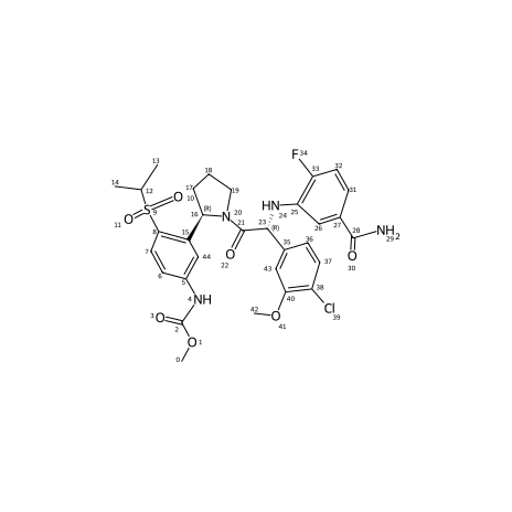 COC(=O)Nc1ccc(S(=O)(=O)C(C)C)c([C@H]2CCCN2C(=O)[C@H](Nc2cc(C(N)=O)ccc2F)c2ccc(Cl)c(OC)c2)c1